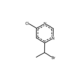 CC(Br)c1cc(Cl)ncn1